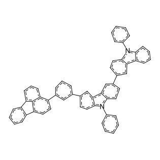 c1ccc(-n2c3ccccc3c3cc(-c4ccc5c(c4)c4cc(-c6cccc(-c7ccc8c9c(cccc79)-c7ccccc7-8)c6)ccc4n5-c4ccccc4)ccc32)cc1